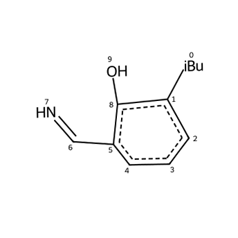 CCC(C)c1cccc(C=N)c1O